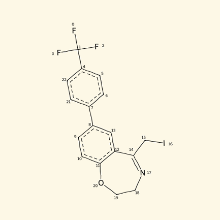 FC(F)(F)c1ccc(-c2ccc3c(c2)C(CI)=NCCO3)cc1